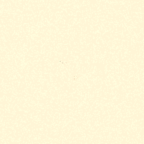 [Br-].[F-].[F-].[Nd+3]